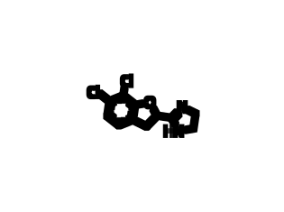 Clc1ccc2c(c1Cl)OC(C1=NCCN1)C2